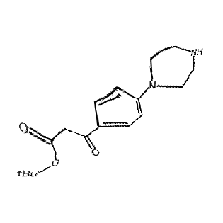 CC(C)(C)OC(=O)CC(=O)c1ccc(N2CCNCC2)cc1